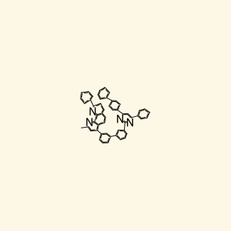 Cc1cc(-c2cccc(-c3cccc(-c4nc(-c5ccccc5)cc(-c5ccc(-c6ccccc6)cc5)n4)c3)c2)c2ccc3ccc(-c4ccccc4)nc3c2n1